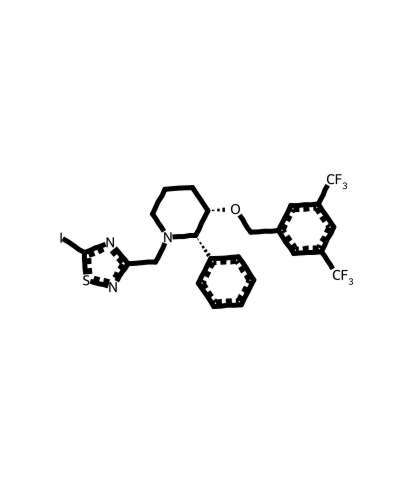 FC(F)(F)c1cc(CO[C@H]2CCCN(Cc3nsc(I)n3)[C@H]2c2ccccc2)cc(C(F)(F)F)c1